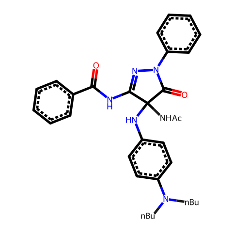 CCCCN(CCCC)c1ccc(NC2(NC(C)=O)C(=O)N(c3ccccc3)N=C2NC(=O)c2ccccc2)cc1